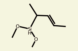 C/C=C/C(C)[SiH](OC)OC